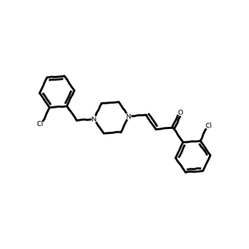 O=C(C=CN1CCN(Cc2ccccc2Cl)CC1)c1ccccc1Cl